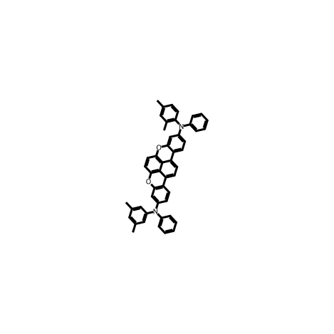 Cc1cc(C)cc(N(c2ccccc2)c2ccc3c(c2)Oc2ccc4c5c(ccc-3c25)-c2ccc(N(c3ccccc3)c3ccc(C)cc3C)cc2O4)c1